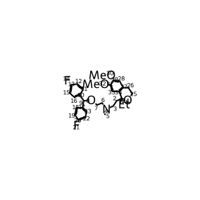 CCC1(CCN(C)CCOC(c2ccc(F)cc2)c2ccc(F)cc2)OCCc2cc(OC)c(OC)cc21